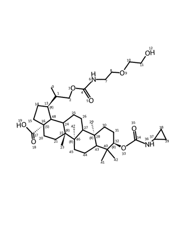 CC(COC(=O)NCCOCCO)[C@@H]1CC[C@]2(C(=O)O)CC[C@]3(C)C(CCC4[C@@]5(C)CC[C@@H](OC(=O)NC6CC6)C(C)(C)C5CC[C@]43C)C12